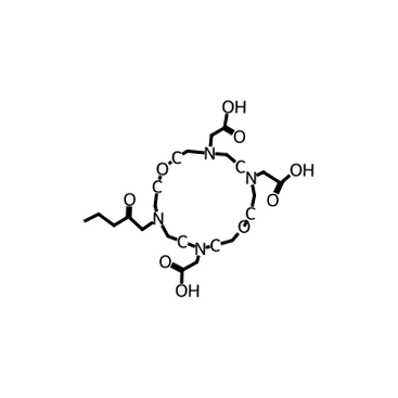 CCCC(=O)CN1CCOCCN(CC(=O)O)CCN(CC(=O)O)CCOCCN(CC(=O)O)CC1